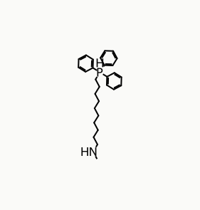 CNCCCCCCCCCC[PH](c1ccccc1)(c1ccccc1)c1ccccc1